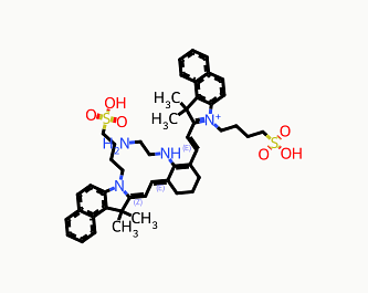 CC1(C)C(/C=C/C2=C(NCCN)C(=C/C=C3\N(CCCCS(=O)(=O)O)c4ccc5ccccc5c4C3(C)C)/CCC2)=[N+](CCCCS(=O)(=O)O)c2ccc3ccccc3c21